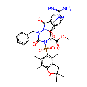 COC(=O)[C@H](CCCNC(=N)N)N(C(=O)N(Cc1ccccc1)N1C(=O)c2ccccc2C1=O)S(=O)(=O)c1c(C)c(C)c2c(c1C)CC(C)(C)O2